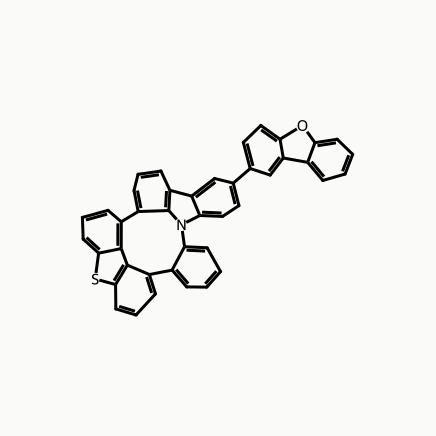 c1ccc2c(c1)oc1ccc(-c3ccc4c(c3)c3cccc5c6cccc7sc8cccc(c9ccccc9n4c53)c8c76)cc12